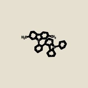 Cc1ccc2c3ccc(C)cc3n(-c3ccccc3-c3cccc4c3c3ccccc3n4-c3ccccc3)c2c1